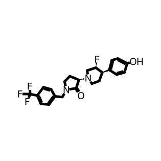 O=C1[C@@H](N2CC[C@H](c3ccc(O)cc3)[C@@H](F)C2)CCN1Cc1ccc(C(F)(F)F)cc1